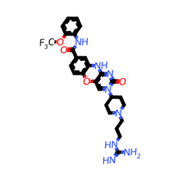 N=C(N)NCCCN1CCC(n2cc3c(nc2=O)Nc2cc(C(=O)Nc4ccccc4OC(F)(F)F)ccc2O3)CC1